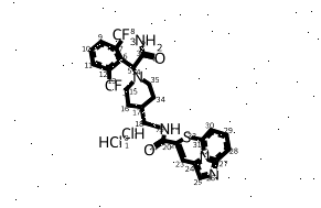 Cl.Cl.NC(=O)C(c1c(C(F)(F)F)cccc1C(F)(F)F)N1CCC(CNC(=O)C2=Cc3cnc4cccc(n34)S2)CC1